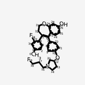 Cc1ccc(C2=C(c3ccc(O[C@H]4CCN(CCCF)C4)cc3)c3ccc(O)cc3OCC2)c(F)c1